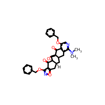 CN(C)c1ncc(OCc2ccccc2)c2c1CC1C[C@H]3Cc4onc(OCc5ccccc5)c4C(=O)[C@]34OC4=C1C2=O